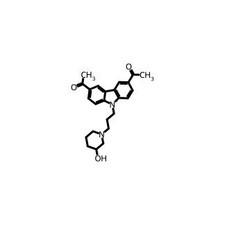 CC(=O)c1ccc2c(c1)c1cc(C(C)=O)ccc1n2CCCN1CCCC(O)C1